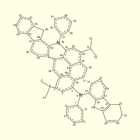 CC(C)c1cc(N(c2ccccc2)c2cccc3c2CC2=C3CCC=C2)c2ccc3c(C(C)C)cc(N(c4ccccc4)c4cccc5c4Cc4ccccc4-5)c4ccc1c2c34